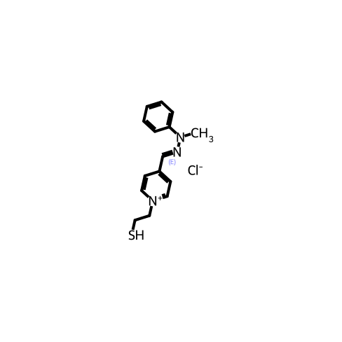 CN(/N=C/c1cc[n+](CCS)cc1)c1ccccc1.[Cl-]